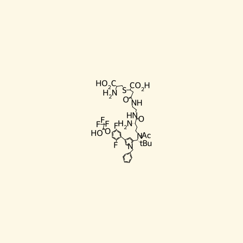 CC(=O)N(CC[C@H](N)C(=O)NCCNC(=O)CC(SC[C@H](N)C(=O)O)C(=O)O)[C@@H](c1cc(-c2cc(F)ccc2F)cn1Cc1ccccc1)C(C)(C)C.O=C(O)C(F)(F)F